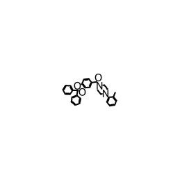 Cc1ccccc1N1CCN(C(=O)c2ccc3c(c2)OC(c2ccccc2)(c2ccccc2)O3)CC1